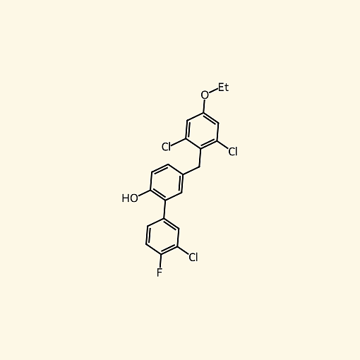 CCOc1cc(Cl)c(Cc2ccc(O)c(-c3ccc(F)c(Cl)c3)c2)c(Cl)c1